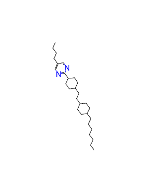 CCCCCCCC1CCC(CCC2CCC(c3ncc(CCCC)cn3)CC2)CC1